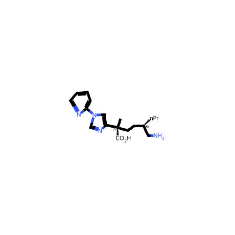 CCC[C@@H](CN)CC[C@](C)(C(=O)O)c1cn(-c2ccccn2)cn1